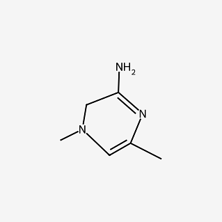 CC1=CN(C)CC(N)=N1